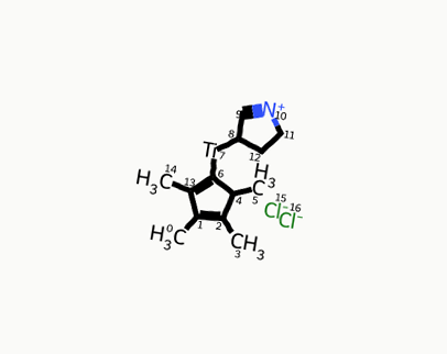 CC1=C(C)C(C)[C]([Ti][CH]2C#[N+]CC2)=C1C.[Cl-].[Cl-]